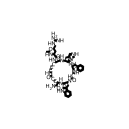 CC(=O)NC(CCCNC(=N)N)C(=O)NC1CCCNC(=O)CCC(C(N)=O)NC(=O)[C@H](Cc2c[nH]c3ccccc23)NC(=O)CNC(=O)C(Cc2ccccc2)NC(=O)[C@H](Cc2c[nH]cn2)NC1=O